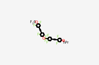 CCCOc1cc(F)c(C#Cc2cc(F)c(C(F)(F)Oc3ccc(C#Cc4cc(F)c(OC(F)(F)F)c(F)c4)c(F)c3)c(F)c2)c(F)c1